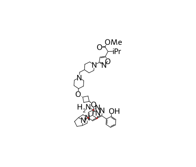 COC(=O)C(c1cc(N2CCC(CN3CCC(O[C@H]4C[C@H](Oc5cc(N6C7CCC6CN(c6cc(-c8ccccc8O)nnc6N)C7)ccn5)C4)CC3)CC2)no1)C(C)C